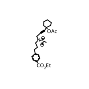 CCOC(=O)c1ccc(CCCN(CC#CC2(OC(C)=O)CCCCC2)S(C)(=O)=O)cc1